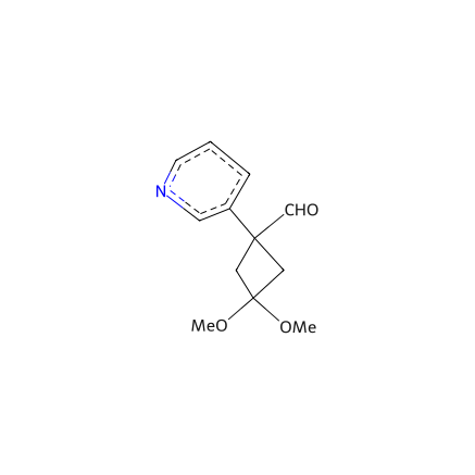 COC1(OC)CC(C=O)(c2cccnc2)C1